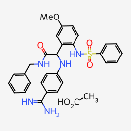 CC(=O)O.COc1ccc(NS(=O)(=O)c2ccccc2)c(C(Nc2ccc(C(=N)N)cc2)C(=O)NCc2ccccc2)c1